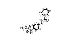 CS(=O)(=O)Nc1ccc(CCC(=O)N2CCCCCC2)cc1